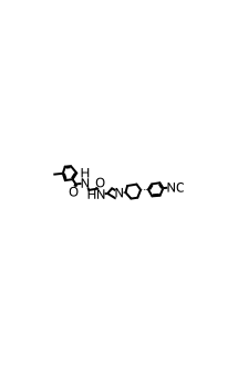 [C-]#[N+]c1ccc([C@H]2CC[C@@H](N3CC(NC(=O)CNC(=O)c4cccc(C)c4)C3)CC2)cc1